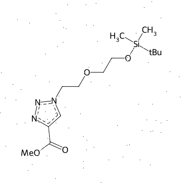 COC(=O)c1cn(CCOCCO[Si](C)(C)C(C)(C)C)nn1